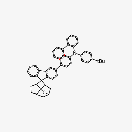 CC(C)(C)c1ccc(N(c2ccc(-c3ccc4c(c3)-c3ccccc3C43C4CC5CC6CC3C4(C5)C6)cc2)c2ccccc2-c2ccccc2)cc1